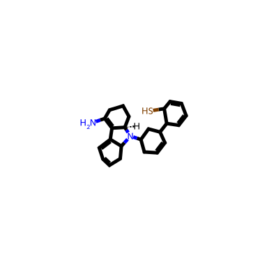 NC1=C2C3=CC=CCC3N(C3CC=CC(C4C=CC=CC4S)C3)[C@@H]2CCC1